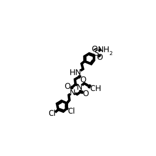 C#CCN1C(=O)CN(CCc2ccc(Cl)cc2Cl)C(=O)C1CC(=O)NCCc1ccc(S(N)(=O)=O)cc1